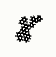 c1cc(-c2cc(-c3cccc4ccccc34)c3ccc4c(-c5cccc6ccccc56)cc(-c5cccc6ccccc56)c5c4c3c2CC5)cc(-c2cccc3c2oc2ccccc23)c1